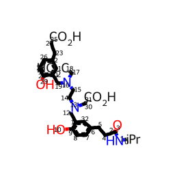 CC(C)NC(=O)CCc1ccc(O)c(CN(CCN(CC(=O)O)Cc2cc(CCC(=O)O)ccc2O)CC(=O)O)c1